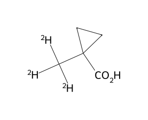 [2H]C([2H])([2H])C1(C(=O)O)CC1